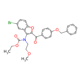 CCOC(=O)N(CCOC)c1c(C(=O)c2ccc(OCc3ccccc3)cc2)oc2ccc(Br)cc12